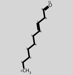 CCCCCCC=CCC=O